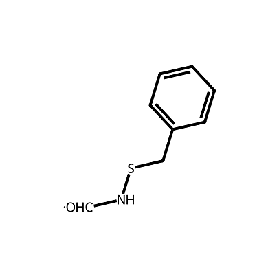 O=[C]NSCc1ccccc1